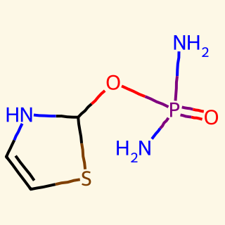 NP(N)(=O)OC1NC=CS1